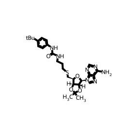 CC1(C)O[C@@H]2[C@@H](O1)[C@@H](CSCCCNC(=O)Nc1ccc(C(C)(C)C)cc1)O[C@H]2n1cnc2c(N)ncnc21